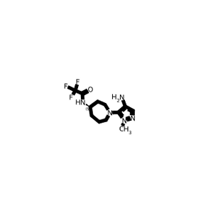 Cn1ncc(N)c1N1CCC[C@H](NC(=O)C(F)(F)F)CC1